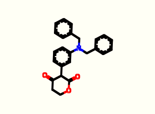 O=C1CCOC(=O)C1c1cccc(N(Cc2ccccc2)Cc2ccccc2)c1